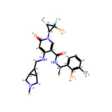 C[C@@H](NC(=O)c1cn([C@H]2[C@H](C)C2(F)P)c(=O)cc1NCC1C2CN(C)CC12)c1cccc(C(F)(F)F)c1P